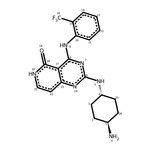 N[C@H]1CC[C@H](Nc2nc(Nc3ccccc3C(F)(F)F)c3c(=O)[nH]ccc3n2)CC1